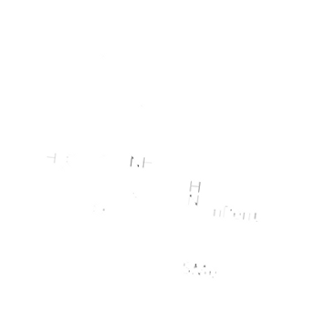 CCCCCNC(CSC)C(=O)N[C@H](C)c1ccccc1